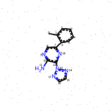 Cc1ccccc1-c1cnc(N)c(-n2nccn2)n1